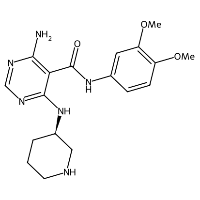 COc1ccc(NC(=O)c2c(N)ncnc2N[C@@H]2CCCNC2)cc1OC